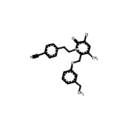 CCc1cccc(OCc2c(C)cc(Cl)c(=O)n2CCc2ccc(C#N)cc2)c1